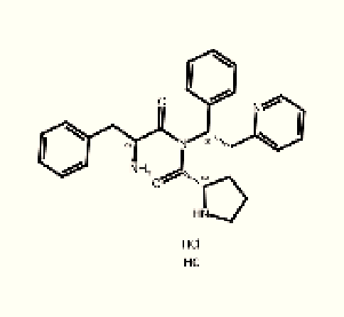 Cl.Cl.N[C@@H](Cc1ccccc1)C(=O)N(C(=O)[C@@H]1CCCN1)[C@@H](Cc1ccccn1)c1ccccc1